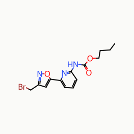 CCCCOC(=O)Nc1cccc(-c2cc(CBr)no2)n1